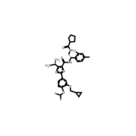 C[C@H](N)c1oc(-c2ccc(OC(F)F)c(OCC3CC3)c2)nc1C(=O)N[C@H](CNC(=O)C1CCCC1)c1ccc(F)cc1F